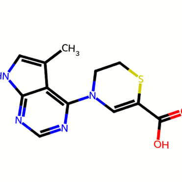 Cc1c[nH]c2ncnc(N3C=C(C(=O)O)SCC3)c12